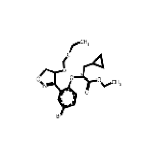 CCCCOC1CON=C1c1cc(Br)ccc1O[C@@H](CC1CC1)C(=O)OCC